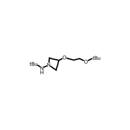 CC(C)(C)NN1CC(OCCOC(C)(C)C)C1